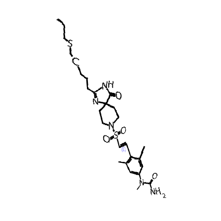 CCCSCCCCCC1=NC2(CCN(S(=O)(=O)/C=C/c3c(C)cc(N(C)C(N)=O)cc3C)CC2)C(=O)N1